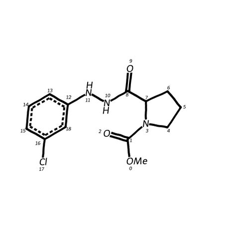 COC(=O)N1CCCC1C(=O)NNc1cccc(Cl)c1